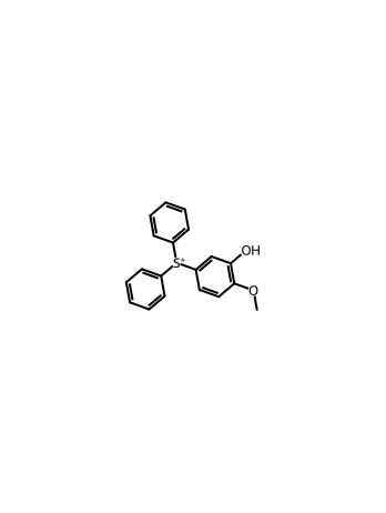 COc1ccc([S+](c2ccccc2)c2ccccc2)cc1O